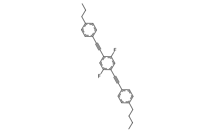 CCCCc1ccc(C#Cc2cc(F)c(C#Cc3ccc(CCC)cc3)cc2F)cc1